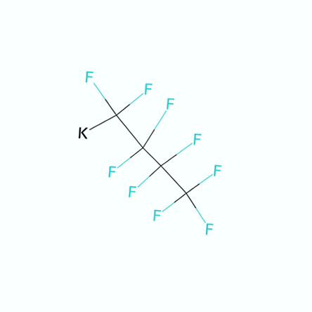 FC(F)(F)C(F)(F)C(F)(F)[C](F)(F)[K]